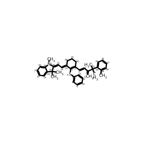 C=C(/C=C/C1=C(Sc2ccccc2)C(=C/C=C2/N(C)c3ccccc3C2(C)C)/CCC1)C(C)(C)c1ccccc1C